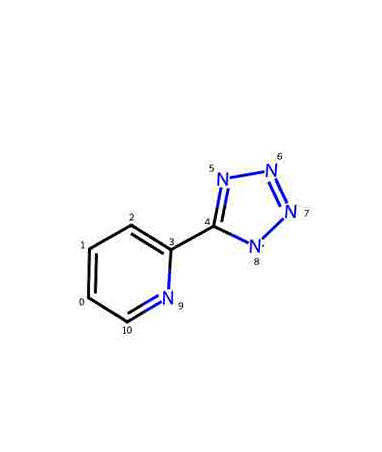 c1ccc(C2=NN=N[N]2)nc1